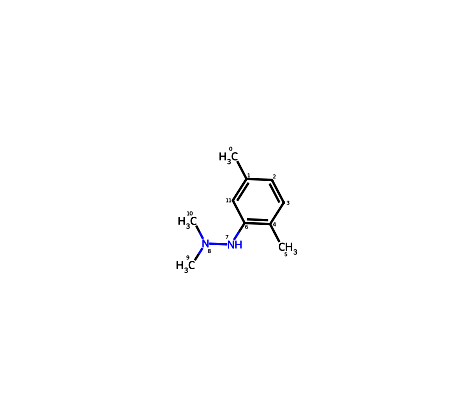 Cc1ccc(C)c(NN(C)C)c1